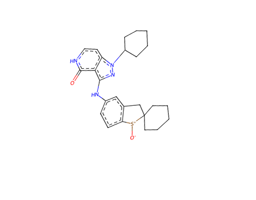 O=c1[nH]ccc2c1c(Nc1ccc3c(c1)CC1(CCCCC1)[S+]3[O-])nn2C1CCCCC1